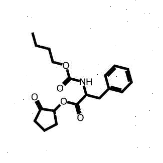 CCCCOC(=O)NC(Cc1ccccc1)C(=O)OC1CCCC1=O